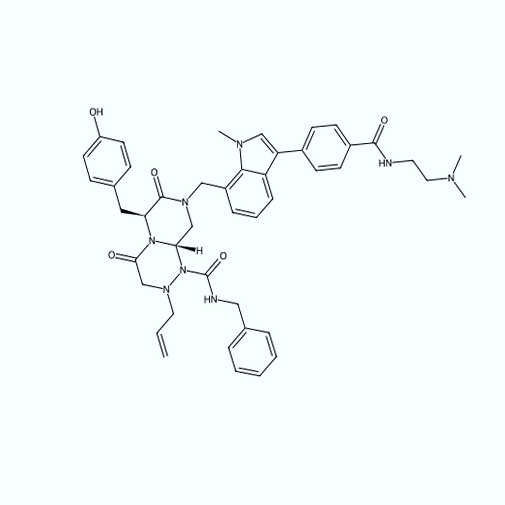 C=CCN1CC(=O)N2[C@@H](Cc3ccc(O)cc3)C(=O)N(Cc3cccc4c(-c5ccc(C(=O)NCCN(C)C)cc5)cn(C)c34)C[C@@H]2N1C(=O)NCc1ccccc1